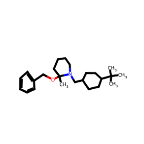 CC(C)(C)C1CCC(CN2CCCCC2(C)OCc2ccccc2)CC1